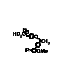 CCO[C@@H](Cc1ccc(OCC=C(C)c2ccc(-c3cc(C(C)C)ccc3OC)cc2)cc1)C(=O)O